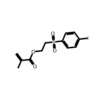 C=C(C)C(=O)OCCS(=O)(=O)c1ccc(I)cc1